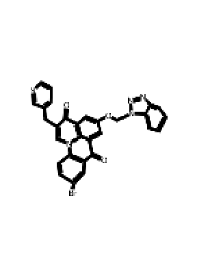 O=c1c(Cc2cccnc2)cn2c3ccc(Br)cc3c(=O)c3cc(OCn4nnc5ccccc54)cc1c32